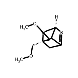 COC[C@]12CC3=B[C@H](O1)C3CC2OC